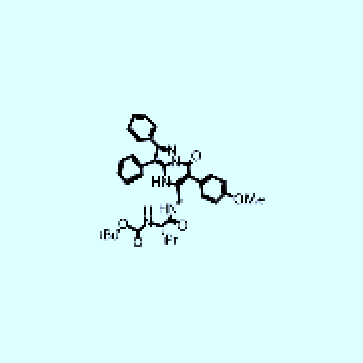 COc1ccc(-c2c(CNC(=O)[C@@H](NC(=O)OC(C)(C)C)C(C)C)[nH]c3c(-c4ccccc4)c(-c4ccccc4)nn3c2=O)cc1